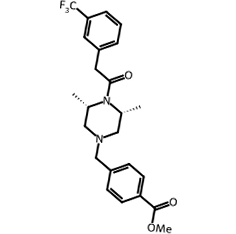 COC(=O)c1ccc(CN2C[C@@H](C)N(C(=O)Cc3cccc(C(F)(F)F)c3)[C@@H](C)C2)cc1